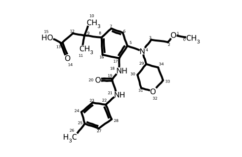 COCCN(c1ccc(C(C)(C)CC(=O)O)cc1NC(=O)Nc1ccc(C)cc1)C1CCOCC1